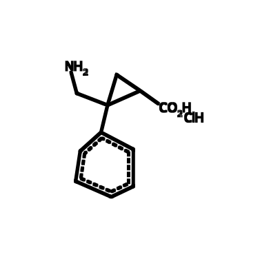 Cl.NCC1(c2ccccc2)CC1C(=O)O